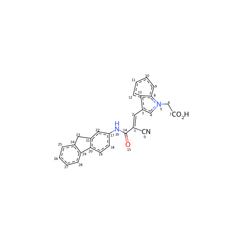 N#CC(=Cc1cn(CC(=O)O)c2ccccc12)C(=O)Nc1ccc2c(c1)Cc1ccccc1-2